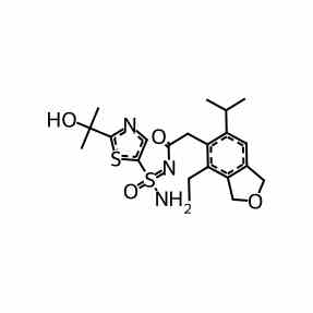 CCc1c2c(cc(C(C)C)c1CC(=O)N=S(N)(=O)c1cnc(C(C)(C)O)s1)COC2